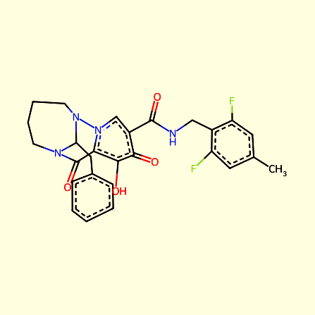 Cc1cc(F)c(CNC(=O)c2cn3c(c(O)c2=O)C(=O)N2CCCCN3C2Cc2ccccc2)c(F)c1